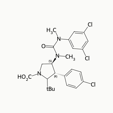 CN(C(=O)N(C)[C@@H]1CN(C(=O)O)C(C(C)(C)C)[C@H]1c1ccc(Cl)cc1)c1cc(Cl)cc(Cl)c1